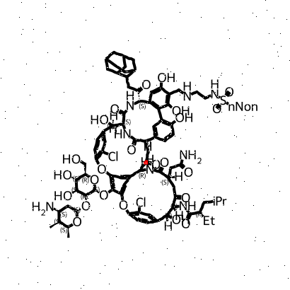 CCCCCCCCCS(=O)(=O)NCCNCc1c(O)cc2c(c1O)-c1cc(ccc1O)[C@H]1CC(=O)[C@@H]3NC(=O)[C@H](CC(N)=O)CC(=O)[C@H](NC(=O)[C@H](CC)CC(C)C)[C@H](O)c4ccc(c(Cl)c4)Oc4cc3cc(c4O[C@@H]3O[C@H](CO)[C@@H](O)[C@H](O)[C@H]3O[C@H]3C[C@H](N)[C@H](C)[C@H](C)O3)Oc3ccc(cc3Cl)[C@@H](O)[C@H](NC1=O)C(=O)N[C@@H]2C(=O)CC1C2CC3CC(C2)CC1C3